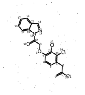 C=C(CC)Cc1ccc(OCC(=O)n2ncc3ccccc32)c(Cl)c1Cl